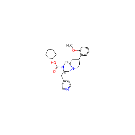 C1CCCCC1.COc1ccccc1C1CCN(C[C@@H](Cc2ccncc2)N(C)C(=O)O)CC1